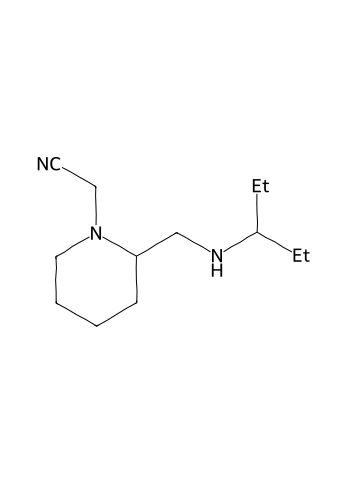 CCC(CC)NCC1CCCCN1CC#N